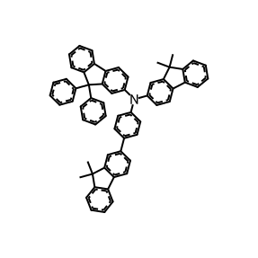 CC1(C)c2ccccc2-c2ccc(-c3ccc(N(c4ccc5c(c4)C(C)(C)c4ccccc4-5)c4ccc5c(c4)C(c4ccccc4)(c4ccccc4)c4ccccc4-5)cc3)cc21